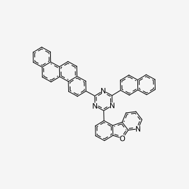 c1ccc2cc(-c3nc(-c4ccc5c(ccc6c7ccccc7ccc56)c4)nc(-c4cccc5oc6ncccc6c45)n3)ccc2c1